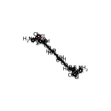 N[C@@H]1CCCN([C@H]2Cc3c(Cl)cc(Cl)cc3[C@@H]2Oc2c(F)cc(N(CCOCCOCCNC(=O)NCCCCNC(=O)NCCOCCOCCNS(=O)(=O)c3cc(F)c(O[C@H]4c5cc(Cl)cc(Cl)c5C[C@@H]4N4CCC[C@@H](N)C4)c(F)c3)[SH](=O)=O)cc2F)C1